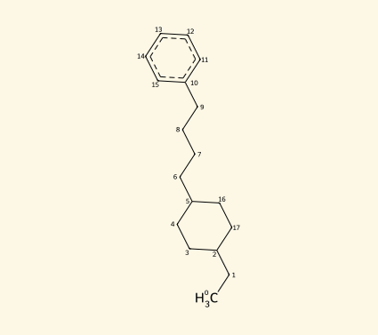 CCC1CCC(CCCCc2ccccc2)CC1